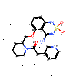 NC1=NS(O)(O)Nc2cccc(OCC3CCCCN3C(=O)Cc3cccnc3)c21